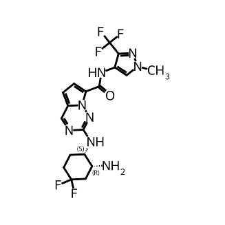 Cn1cc(NC(=O)c2ccc3cnc(N[C@H]4CCC(F)(F)C[C@H]4N)nn23)c(C(F)(F)F)n1